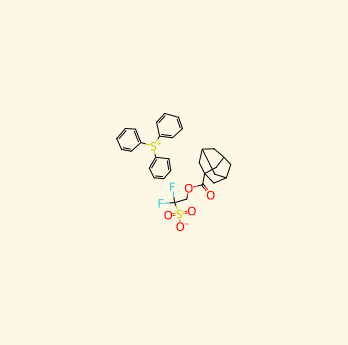 O=C(OCC(F)(F)S(=O)(=O)[O-])C12CC3CC(CC(C3)C1)C2.c1ccc([S+](c2ccccc2)c2ccccc2)cc1